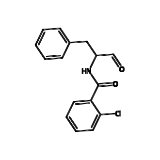 O=CC(Cc1ccccc1)NC(=O)c1ccccc1Cl